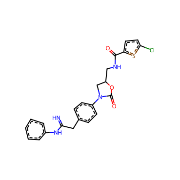 N=C(Cc1ccc(N2CC(CNC(=O)c3ccc(Cl)s3)OC2=O)cc1)Nc1ccccc1